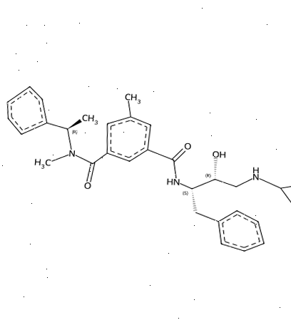 Cc1cc(C(=O)N[C@@H](Cc2ccccc2)[C@H](O)CNC2CC2)cc(C(=O)N(C)[C@H](C)c2ccccc2)c1